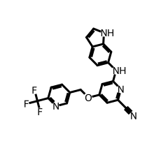 N#Cc1cc(OCc2ccc(C(F)(F)F)nc2)cc(Nc2ccc3cc[nH]c3c2)n1